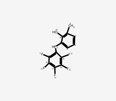 Cc1cccc(Pc2c(F)c(F)c(F)c(F)c2F)c1O